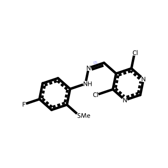 CSc1cc(F)ccc1N/N=C\c1c(Cl)ncnc1Cl